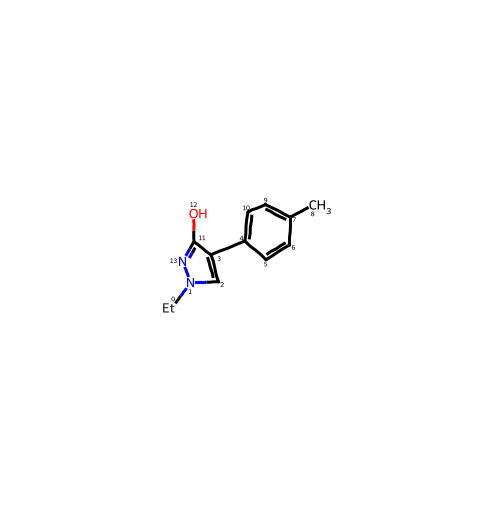 CCn1cc(-c2ccc(C)cc2)c(O)n1